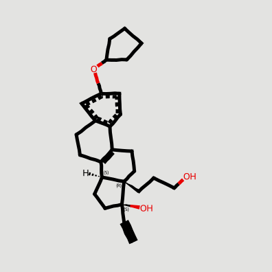 C#C[C@]1(O)CC[C@H]2C3=C(CC[C@@]21CCCO)c1ccc(OC2CCCC2)cc1CC3